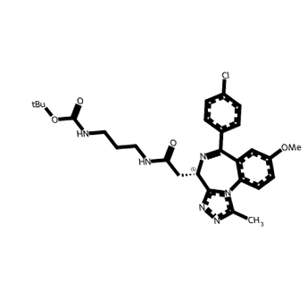 COc1ccc2c(c1)C(c1ccc(Cl)cc1)=N[C@@H](CC(=O)NCCCNC(=O)OC(C)(C)C)c1nnc(C)n1-2